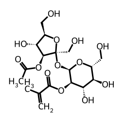 C=C(C)C(=O)O[C@H]1[C@@H](O[C@]2(CO)O[C@H](CO)[C@@H](O)[C@@H]2OC(C)=O)O[C@H](CO)[C@@H](O)[C@@H]1O